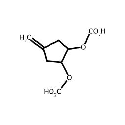 C=C1CC(OC(=O)O)C(OC(=O)O)C1